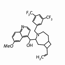 C=CC1CC2CCN(Cc3cc(C(F)(F)F)cc(C(F)(F)F)c3)C(C(O)c3ccnc4ccc(OC)cc34)CC12